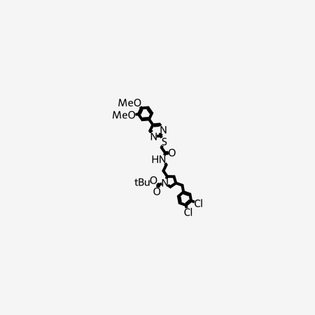 COc1ccc(-c2cnc(SCC(=O)NCCC3CC(Cc4ccc(Cl)c(Cl)c4)CN3C(=O)OC(C)(C)C)nc2)cc1OC